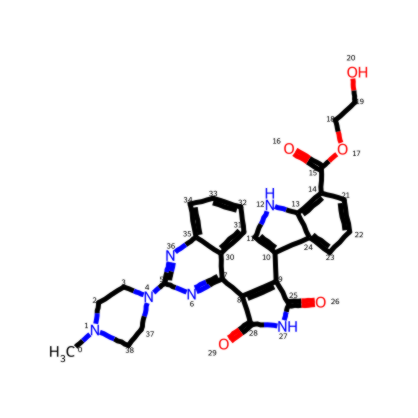 CN1CCN(c2nc(C3=C(c4c[nH]c5c(C(=O)OCCO)cccc45)C(=O)NC3=O)c3ccccc3n2)CC1